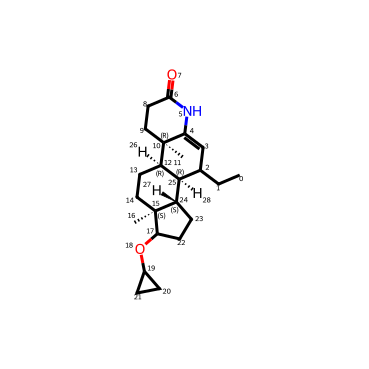 CCC1C=C2NC(=O)CC[C@]2(C)[C@@H]2CC[C@]3(C)C(OC4CC4)CC[C@H]3[C@H]12